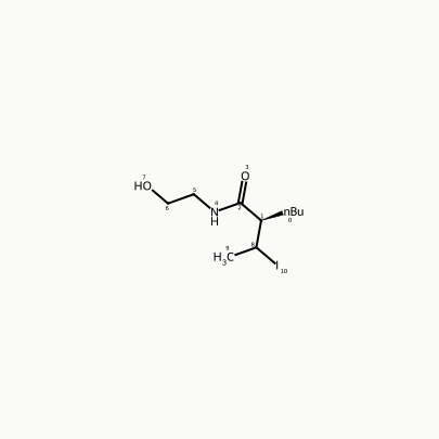 CCCC[C@H](C(=O)NCCO)C(C)I